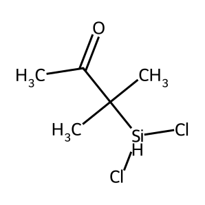 CC(=O)C(C)(C)[SiH](Cl)Cl